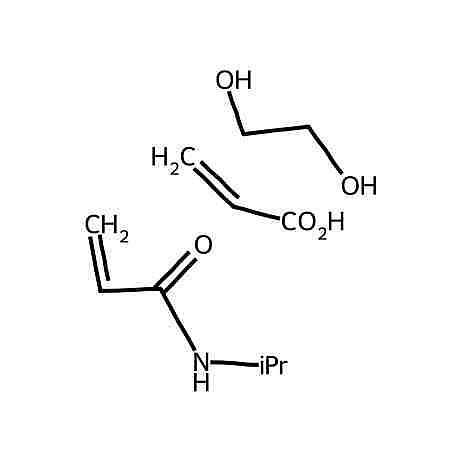 C=CC(=O)NC(C)C.C=CC(=O)O.OCCO